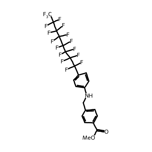 COC(=O)c1ccc(CNc2ccc(C(F)(F)C(F)(F)C(F)(F)C(F)(F)C(F)(F)C(F)(F)C(F)(F)C(F)(F)F)cc2)cc1